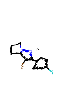 Fc1ccc(-c2nn3c(c2Br)CCC3)cc1.[Ar]